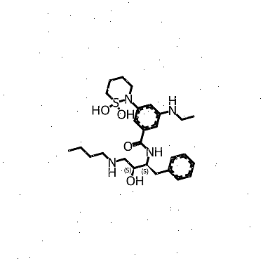 CCCCNC[C@H](O)[C@H](Cc1ccccc1)NC(=O)c1cc(NCC)cc(N2CCCCS2(O)O)c1